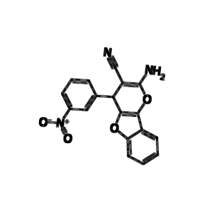 N#CC1=C(N)Oc2c(oc3ccccc23)C1c1cccc([N+](=O)[O-])c1